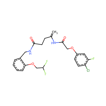 C=C(CCC(=O)NCc1ccccc1OCC(F)F)NC(=O)COc1ccc(Cl)c(F)c1